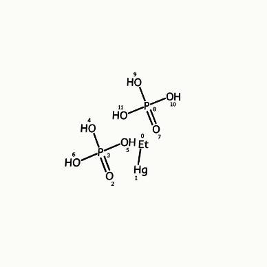 C[CH2][Hg].O=P(O)(O)O.O=P(O)(O)O